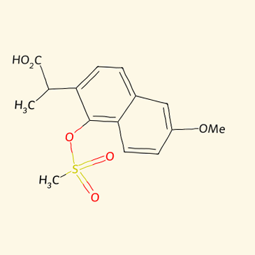 COc1ccc2c(OS(C)(=O)=O)c(C(C)C(=O)O)ccc2c1